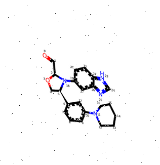 O=CC1OC[C@H](c2cccc(N3CCCCC3)c2)N1c1ccc2[nH]cnc2c1